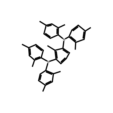 Cc1ccc(N(c2ccc(C)cc2C)c2cccc(N(c3ccc(C)cc3C)c3ccc(C)cc3C)c2C)c(C)c1